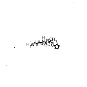 CC(C)(COC1CCCC1)OC(=O)NC/C=C/CN